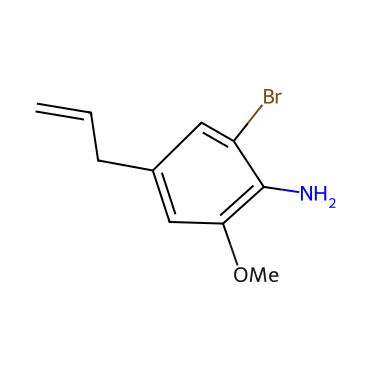 C=CCc1cc(Br)c(N)c(OC)c1